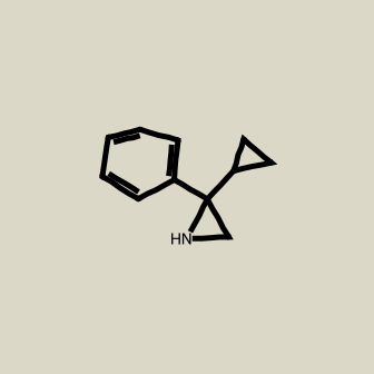 c1ccc(C2(C3CC3)CN2)cc1